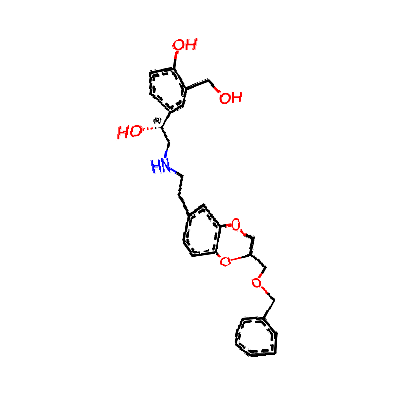 OCc1cc([C@@H](O)CNCCc2ccc3c(c2)OCC(COCc2ccccc2)O3)ccc1O